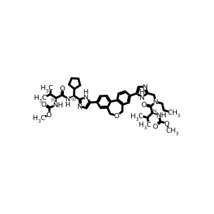 CCCN(Cc1ncc(-c2ccc3c(c2)COCc2cc(-c4cnc([C@@H](NC(=O)[C@@H](NC(=O)OC)C(C)C)C5CCCC5)[nH]4)ccc2-3)[nH]1)C(=O)[C@@H](NC(=O)OC)C(C)C